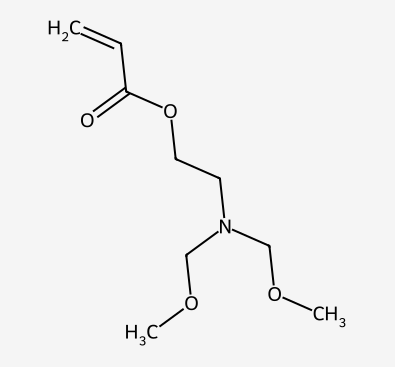 C=CC(=O)OCCN(COC)COC